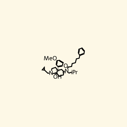 COc1cccc([C@@]23CCN(CC4CC4)C[C@@]2(O)CC[C@H](N(CC(C)C)C(=O)CCCCCc2ccccc2)C3)c1